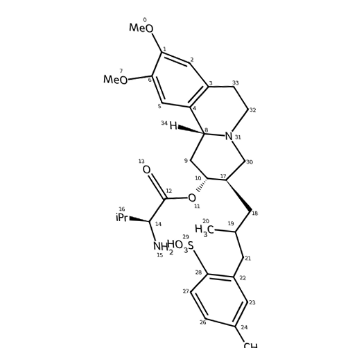 COc1cc2c(cc1OC)[C@H]1C[C@@H](OC(=O)[C@@H](N)C(C)C)[C@H](CC(C)Cc3cc(C)ccc3S(=O)(=O)O)CN1CC2